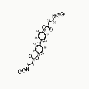 O=C=NCCC(=O)Oc1ccc(-c2ccc(OC(=O)CCN=C=O)cc2)cc1